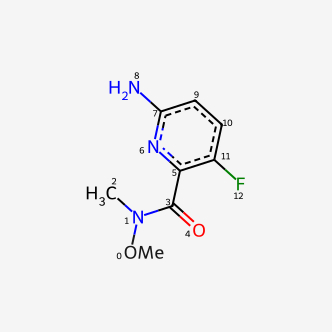 CON(C)C(=O)c1nc(N)ccc1F